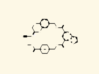 COC(=O)C12CCC(CNC(=O)c3cc(C(=O)NCc4ccc5c(c4)N/C(=N/C#N)CO5)nc4ccnn34)(CC1)CC2